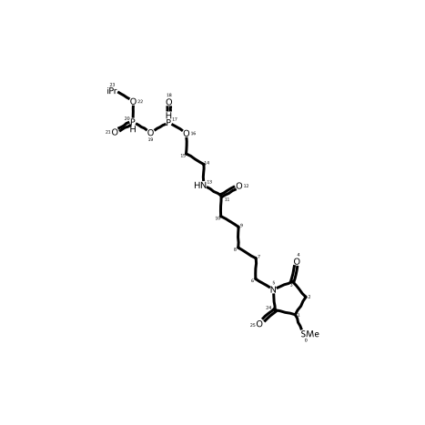 CSC1CC(=O)N(CCCCCC(=O)NCCO[PH](=O)O[PH](=O)OC(C)C)C1=O